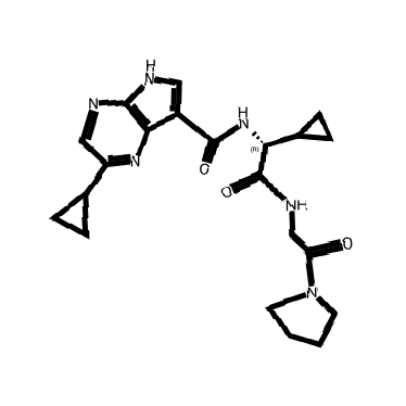 O=C(N[C@@H](C(=O)NCC(=O)N1CCCC1)C1CC1)c1c[nH]c2ncc(C3CC3)nc12